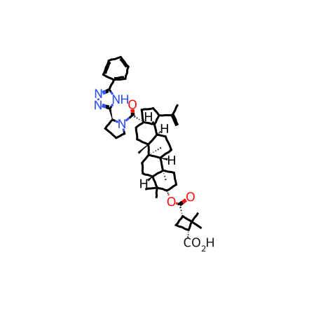 C=C(C)C1CC[C@]2(C(=O)N3CCC[C@H]3c3nnc(-c4ccccc4)[nH]3)CC[C@]3(C)[C@H](CC[C@@H]4[C@@]5(C)CC[C@H](OC(=O)[C@H]6C[C@@H](C(=O)O)C6(C)C)C(C)(C)[C@@H]5CC[C@]43C)[C@@H]12